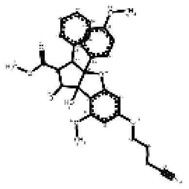 COC(=O)C1C(O)C2(O)c3c(OC)cc(OCCCC#N)cc3OC2(c2ccc(OC)cc2)C1c1ccccc1